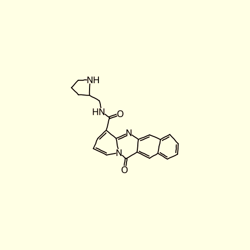 O=C(NCC1CCCN1)c1cccn2c(=O)c3cc4ccccc4cc3nc12